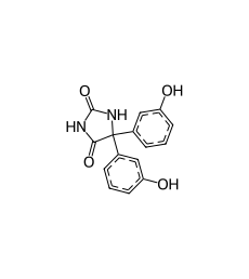 O=C1NC(=O)C(c2cccc(O)c2)(c2cccc(O)c2)N1